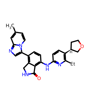 CCc1nc(Nc2ccc(-c3cnc4cc(C)ccn34)c3c2C(=O)NC3)ccc1[C@H]1CCOC1